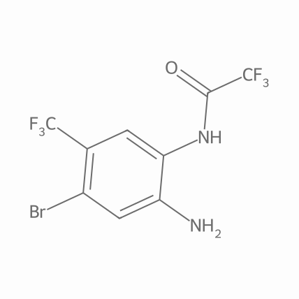 Nc1cc(Br)c(C(F)(F)F)cc1NC(=O)C(F)(F)F